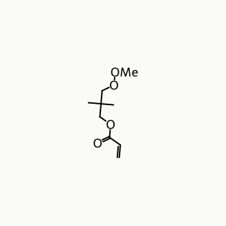 C=CC(=O)OCC(C)(C)COOC